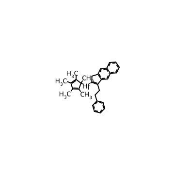 CC1=C(C)[C](C)([Hf][C]2=C(CCc3ccccc3)c3cc4ccccc4cc3C2)C(C)=C1C